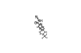 CC(C)(C)C1CCc2c(sc3nc(C(=O)NC#N)cn23)C1